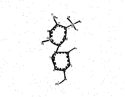 Cc1cc(CC(C)C)ccc1-c1cc([Si](C)(C)C)c(C(C)C)c[n+]1C